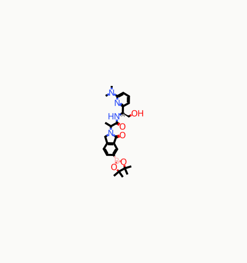 CC(C(=O)N[C@H](CO)c1cccc(N(C)C)n1)N1Cc2ccc(B3OC(C)(C)C(C)(C)O3)cc2C1=O